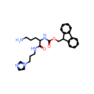 NCCCC(NC(=O)OCC1c2ccccc2-c2ccccc21)C(=O)NCCCn1ccnc1